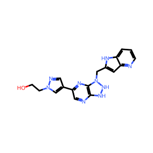 OCCn1cc(-c2cnc3c(n2)N(Cc2cc4ncccc4[nH]2)NN3)cn1